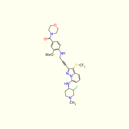 COc1cc(C(=O)N2CCOCC2)ccc1NCC#Cc1nn2c(N[C@@H]3CCN(C)C[C@@H]3F)cccc2c1SC(F)(F)F